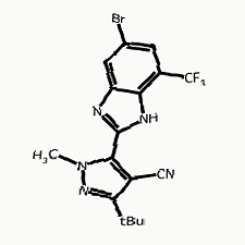 Cn1nc(C(C)(C)C)c(C#N)c1-c1nc2cc(Br)cc(C(F)(F)F)c2[nH]1